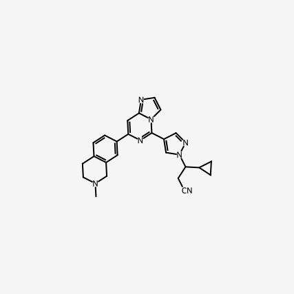 CN1CCc2ccc(-c3cc4nccn4c(-c4cnn(C(CC#N)C5CC5)c4)n3)cc2C1